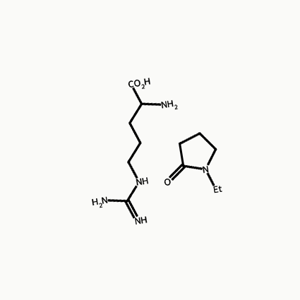 CCN1CCCC1=O.N=C(N)NCCCC(N)C(=O)O